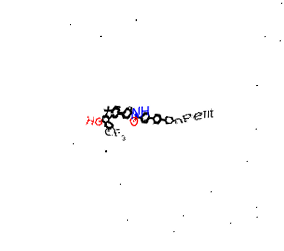 CCCCCC1CCC(c2ccc(-c3ccc(C(=O)Nc4ccc(-c5ccc6c(c5)-c5c(cc(O)c7cc(C(F)(F)F)ccc57)C6(C)C)cc4)cc3)cc2)CC1